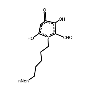 CCCCCCCCCCCCCCn1c(O)cc(=O)c(O)c1C=O